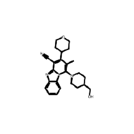 Cc1c(C2CCOCC2)c(C#N)c2nc3ccccc3n2c1N1CCC(CO)CC1